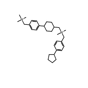 C[N+](C)(C)Cc1ccc(C2CCC(C[N+](C)(C)Cc3ccc(C4CCCC4)cc3)CC2)cc1